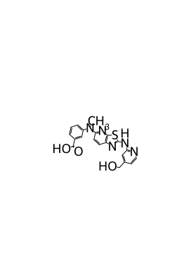 CN(c1cccc(C(=O)O)c1)c1ccc2nc(Nc3cc(CO)ccn3)sc2n1